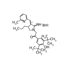 Br.CCCC1CN(CC(=O)c2cc(C(C)(C)C)c(O)c(C(C)(C)C)c2)C(=N)/C1=C/c1cccc(C)n1